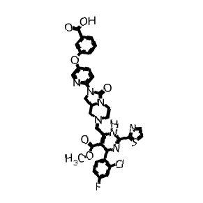 COC(=O)C1=C(CN2CCN3C(=O)N(c4ccc(Oc5cccc(C(=O)O)c5)cn4)CC3C2)NC(c2nccs2)=NC1c1ccc(F)cc1Cl